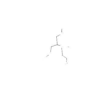 COCC(COC)OCCN.Cl